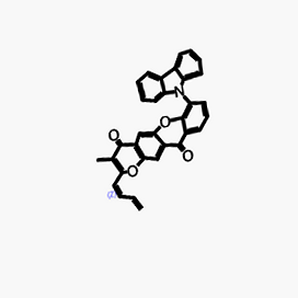 C=C/C=C\c1oc2cc3c(=O)c4cccc(-n5c6ccccc6c6ccccc65)c4oc3cc2c(=O)c1C